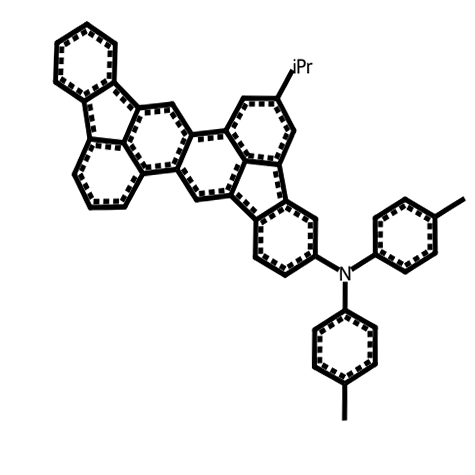 Cc1ccc(N(c2ccc(C)cc2)c2ccc3c(c2)c2cc(C(C)C)cc4c5cc6c7ccccc7c7cccc(c5cc3c24)c76)cc1